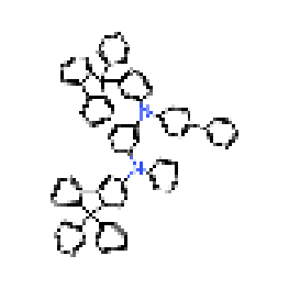 c1ccc(-c2ccc(N(c3cccc(N(c4ccccc4)c4ccc5c(c4)-c4ccccc4C5(c4ccccc4)c4ccccc4)c3)c3cccc(C4(c5ccccc5)c5ccccc5-c5ccccc54)c3)cc2)cc1